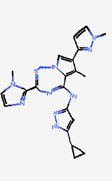 Cc1c(-c2ccn(C)n2)cn2nc(-c3nccn3C)nc(Nc3cc(C4CC4)[nH]n3)c12